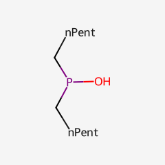 CCCCCCP(O)CCCCCC